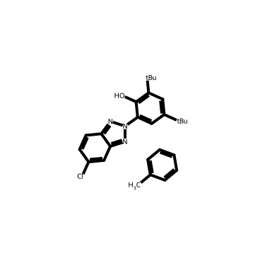 CC(C)(C)c1cc(-n2nc3ccc(Cl)cc3n2)c(O)c(C(C)(C)C)c1.Cc1ccccc1